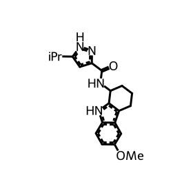 COc1ccc2[nH]c3c(c2c1)CCCC3NC(=O)c1cc(C(C)C)[nH]n1